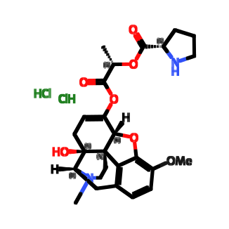 COc1ccc2c3c1O[C@H]1C(OC(=O)[C@H](C)OC(=O)[C@@H]4CCCN4)=CC[C@@]4(O)[C@@H](C2)N(C)CC[C@]314.Cl.Cl